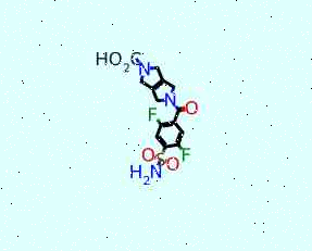 NS(=O)(=O)c1cc(F)c(C(=O)N2CC3=C(CN(C(=O)O)C3)C2)cc1F